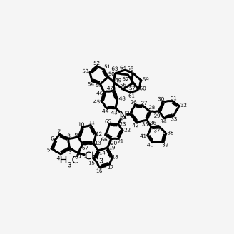 CC1(C)c2ccccc2-c2cccc(-c3ccccc3-c3ccc(N(c4ccc(-c5ccccc5)c(-c5ccccc5)c4)c4ccc5c(c4)C4(c6ccccc6-5)C5CC6CC(C5)CC4C6)cc3)c21